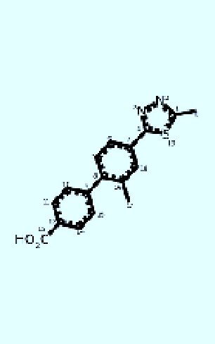 Cc1nnc(-c2ccc(-c3ccc(C(=O)O)cc3)c(C)c2)s1